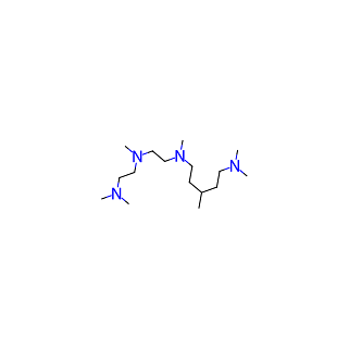 CC(CCN(C)C)CCN(C)CCN(C)CCN(C)C